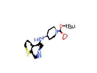 CC(C)(C)OC(=O)N1CCC(Nc2cncc3sccc23)CC1